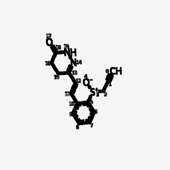 C#CC[S+]([O-])c1ccccc1C=CC1=NNC(=O)CC1